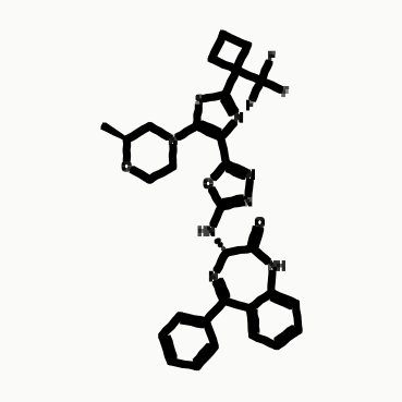 C[C@H]1CN(c2sc(C3(C(F)(F)F)CCC3)nc2-c2nnc(N[C@H]3N=C(c4ccccc4)c4ccccc4NC3=O)o2)CCO1